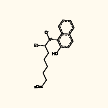 CCCCCCCCCCCCCCCC(CC)[S+]([O-])c1c(O)ccc2ccccc12